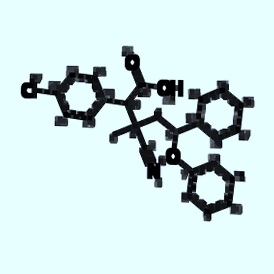 CC(C#N)(CC(Oc1ccccc1)c1ccccc1)C(C(=O)O)c1ccc(Cl)cc1